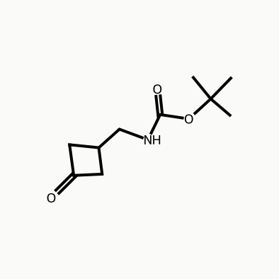 CC(C)(C)OC(=O)NCC1CC(=O)C1